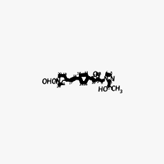 C[C@H](O)c1nccn1Cc1cc(-c2ccc(C#CC3CCN(C=O)CC3)cc2)on1